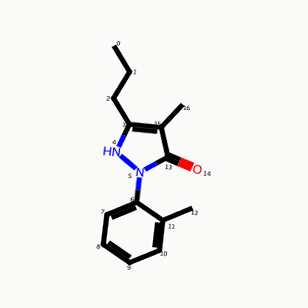 CCCc1[nH]n(-c2ccccc2C)c(=O)c1C